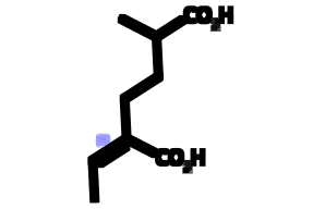 C/C=C(/CCC(C)C(=O)O)C(=O)O